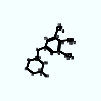 C[C@H]1CCCN(Cc2cc([N+](=O)[O-])c(N)c(C(F)(F)F)c2)C1